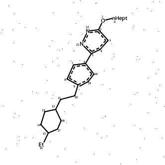 CCCCCCCOc1ccc(-c2ccc(CCC3CCC(CC)CC3)cc2)nn1